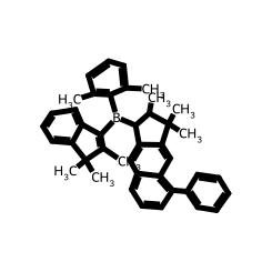 CC1=C(B(c2c(C)cccc2C)C2c3cc4cccc(-c5ccccc5)c4cc3C(C)(C)C2C)c2ccccc2C1(C)C